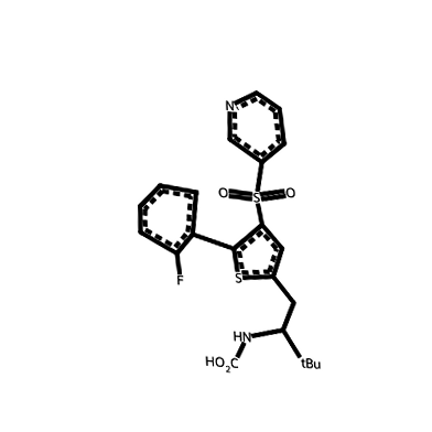 CC(C)(C)C(Cc1cc(S(=O)(=O)c2cccnc2)c(-c2ccccc2F)s1)NC(=O)O